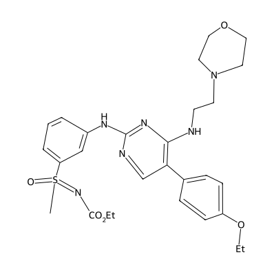 CCOC(=O)N=S(C)(=O)c1cccc(Nc2ncc(-c3ccc(OCC)cc3)c(NCCN3CCOCC3)n2)c1